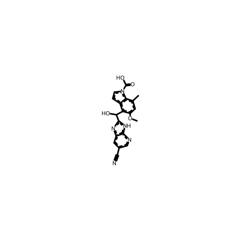 COc1cc(C)c2c(ccn2C(=O)O)c1C(O)c1nc2cc(C#N)cnc2[nH]1